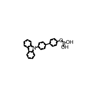 OB(O)Oc1ccc(-c2ccc(-n3c4ccccc4c4ccccc43)cc2)cc1